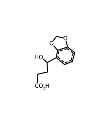 O=C(O)CCC(O)c1cccc2c1OCO2